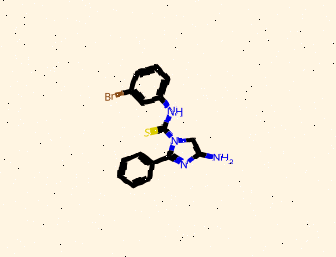 NC1CN(C(=S)Nc2cccc(Br)c2)C(c2ccccc2)=N1